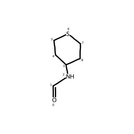 O=CNC1CCSCC1